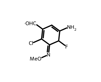 CON=C1C(Cl)=C([C]=O)C=C(N)C1F